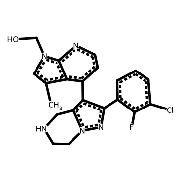 Cc1cn(CO)c2nccc(-c3c(-c4cccc(Cl)c4F)nn4c3CNCC4)c12